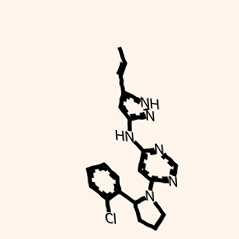 C/C=C/c1cc(Nc2cc(N3CCCC3c3ccccc3Cl)ncn2)n[nH]1